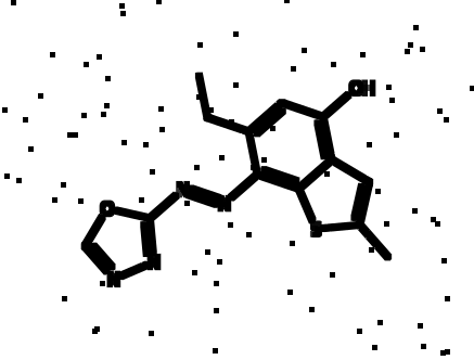 CCc1cc(O)c2cc(C)sc2c1/N=N/c1nnco1